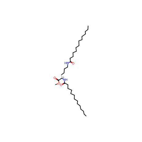 CCCCCCCCCCCCCC(=O)NCCCC[C@H](NC(=O)CCCCCCCCCCCCC)C(=O)OC